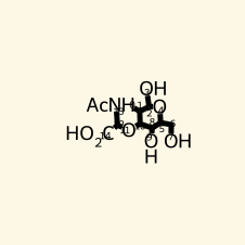 CC(=O)NC1C(O)OC(CO)C(O)C1OC(C)C(=O)O